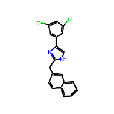 Clc1cc(Cl)cc(-c2c[nH]c(Cc3ccc4ccccc4c3)n2)c1